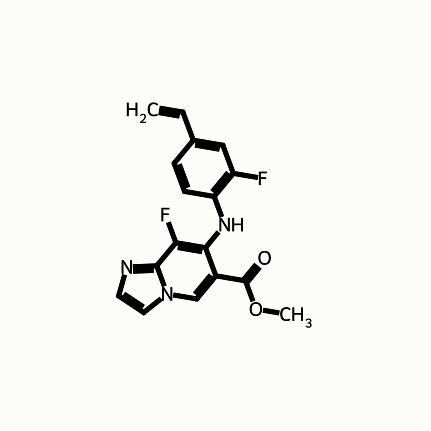 C=Cc1ccc(Nc2c(C(=O)OC)cn3ccnc3c2F)c(F)c1